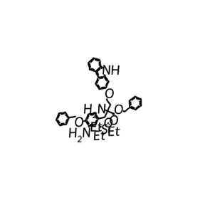 CC[Si](CC)(CC)OC(c1ccc(OCc2ccccc2)c(N)c1)C(N)(CCOc1ccc2c(c1)[nH]c1ccccc12)C(=O)OCc1ccccc1